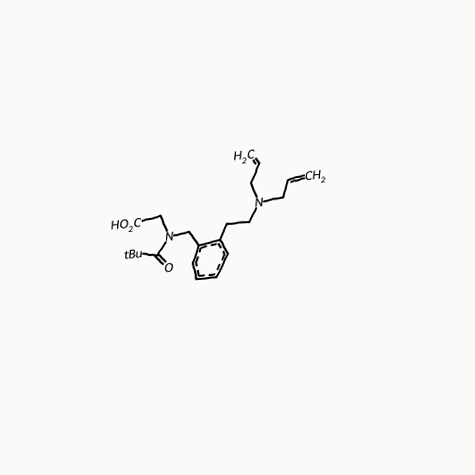 C=CCN(CC=C)CCc1ccccc1CN(CC(=O)O)C(=O)C(C)(C)C